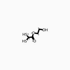 O=C(OCCO)C(S)S